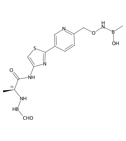 CB(O)NOCc1ccc(-c2nc(NC(=O)[C@H](C)NBC=O)cs2)cn1